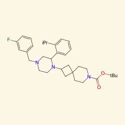 CC(C)c1ccccc1C1CN(Cc2cccc(F)c2)CCN1C1CC2(CCN(C(=O)OC(C)(C)C)CC2)C1